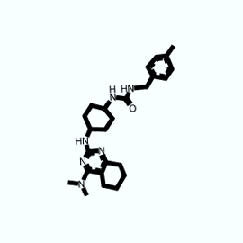 Cc1ccc(CNC(=O)NC2CCC(Nc3nc4c(c(N(C)C)n3)CCCC4)CC2)cc1